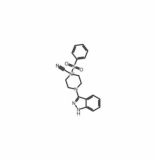 N#C[N+]1(S(=O)(=O)c2ccccc2)CCN(c2n[nH]c3ccccc23)CC1